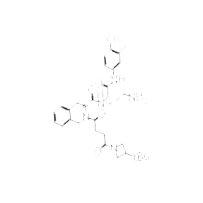 Cc1cc(NC(=O)[C@H](CCN)NC(=O)[C@@H]2Cc3ccccc3CN2C(=O)CCC(=O)N2CC(C(C)(C)C)C2)ccc1Cl